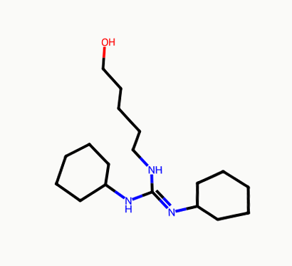 OCCCCCN/C(=N\C1CCCCC1)NC1CCCCC1